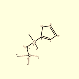 C[Si](C)(C)N[Si](C)(C)C1=CC=CC1